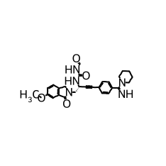 COc1ccc2c(c1)C(=O)N(C[C@@H](C#Cc1ccc(C(=N)N3CCCCC3)cc1)NC(=O)NC=O)C2